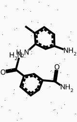 Cc1ccc(N)cc1N.NC(=O)c1cccc(C(N)=O)c1